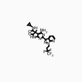 CC1(C(=O)NC2CC2)C(=O)Nc2nc(-c3nn(CCC(F)(F)C(F)(F)F)c4ncccc34)nc(N)c21